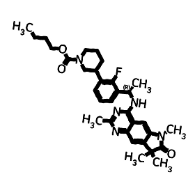 CCCCOC(=O)N1CCCC(c2cccc([C@@H](C)Nc3nc(C)nc4cc5c(cc34)N(C)C(=O)C5(C)C)c2F)C1